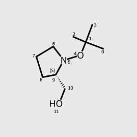 CC(C)(C)ON1CCC[C@H]1CO